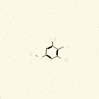 CC(C)Oc1cc(Cl)c(C(C)C)c(C#N)c1